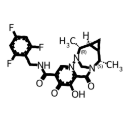 C[C@@H]1[C@H]2CC2[C@H](C)N2CN1n1cc(C(=O)NCc3c(F)cc(F)cc3F)c(=O)c(O)c1C2=O